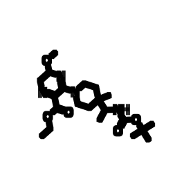 CCOC(=O)C1=NCC(OC)N=C1N1CCC(C)(C(C)NC(=O)OC(C)(C)C)CC1